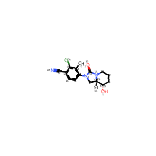 Cc1c(N2C[C@H]3[C@@H](O)CCCN3C2=O)ccc(C#N)c1Cl